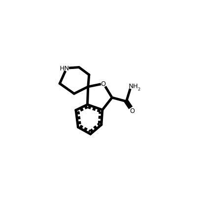 NC(=O)C1OC2(CCNCC2)c2ccccc21